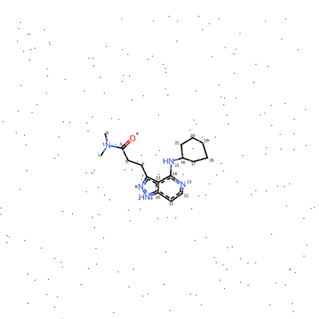 CN(C)C(=O)CCc1n[nH]c2ccnc(NC3CCCCC3)c12